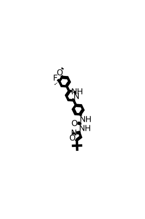 COC1=CC=C(C2=CCC(c3ccc(NC(=O)Nc4cc(C(C)(C)C)on4)cc3)=NN2)C[C@@]1(C)F